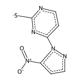 O=[N+]([O-])c1ccnn1-c1ccnc([S])n1